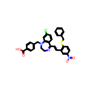 O=C(O)c1ccc(CN2CCN=C(/C=C/c3cc([N+](=O)[O-])ccc3SCc3ccccc3)c3ccc(Cl)cc32)cc1